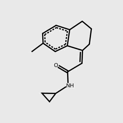 Cc1ccc2c(c1)/C(=C\C(=O)NC1CC1)CCC2